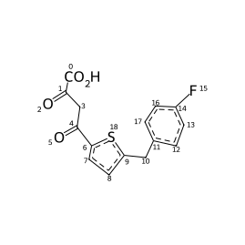 O=C(O)C(=O)CC(=O)c1ccc(Cc2ccc(F)cc2)s1